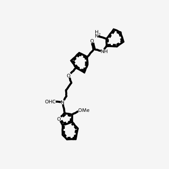 COc1c(N(C=O)CCCOc2ccc(C(=O)Nc3ccccc3N)cc2)oc2ccccc12